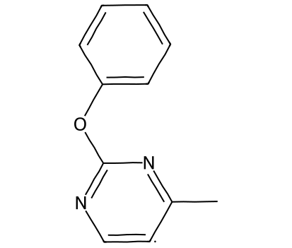 Cc1[c]cnc(Oc2ccccc2)n1